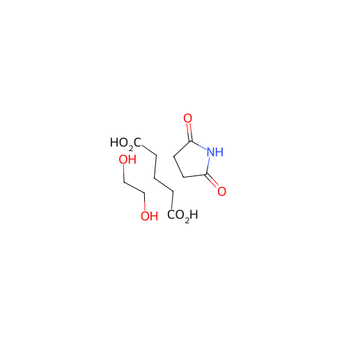 O=C(O)CCCC(=O)O.O=C1CCC(=O)N1.OCCO